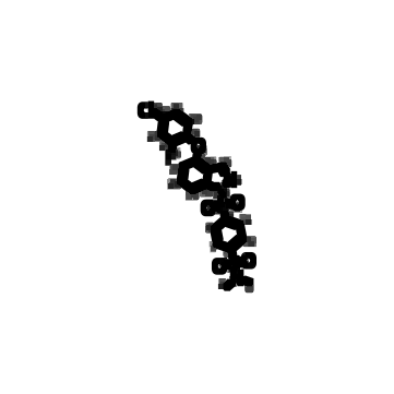 CN(C)S(=O)(=O)c1ccc(S(=O)(=O)n2ncc3c(Oc4ccc(Cl)cc4F)cccc32)cc1